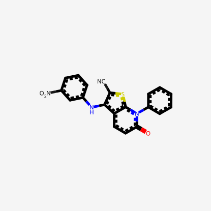 N#Cc1sc2c(ccc(=O)n2-c2ccccc2)c1Nc1cccc([N+](=O)[O-])c1